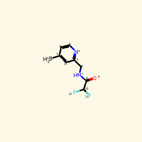 Bc1ccnc(CNC(=O)C(F)F)c1